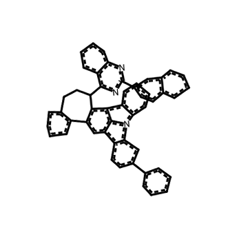 c1ccc(-c2ccc3c4cc5c(c6c7ccccc7n(c3c2)c46)C(c2nc(-c3ccc4ccccc4c3)nc3ccccc23)CCc2ccccc2-5)cc1